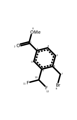 COC(=O)c1ccc(CBr)c(C(F)F)c1